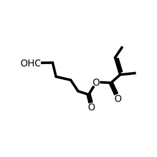 CC=C(C)C(=O)OC(=O)CCCCC=O